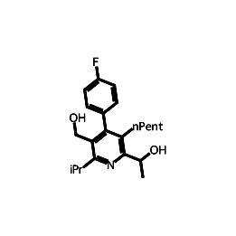 CCCCCc1c(C(C)O)nc(C(C)C)c(CO)c1-c1ccc(F)cc1